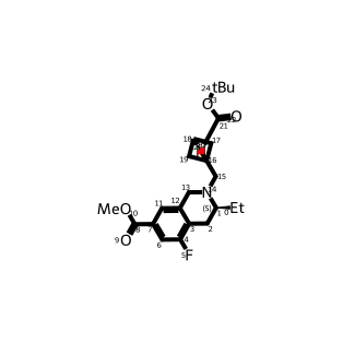 CC[C@H]1Cc2c(F)cc(C(=O)OC)cc2CN1CC12CC(C1)N(C(=O)OC(C)(C)C)C2